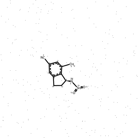 Cc1cc(C#N)cc2c1[C@@H](N[SH](=O)=O)CC2